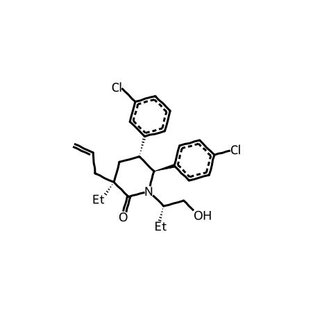 C=CC[C@@]1(CC)C[C@H](c2cccc(Cl)c2)[C@@H](c2ccc(Cl)cc2)N([C@@H](CC)CO)C1=O